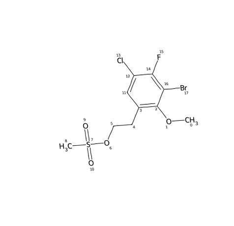 COc1c(CCOS(C)(=O)=O)cc(Cl)c(F)c1Br